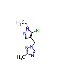 CCn1ncc(Cn2cnc(C)n2)c1Br